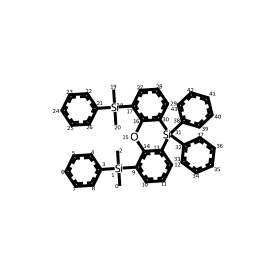 C[Si](C)(c1ccccc1)c1cccc2c1Oc1c([Si](C)(C)c3ccccc3)cccc1[Si]2(c1ccccc1)c1ccccc1